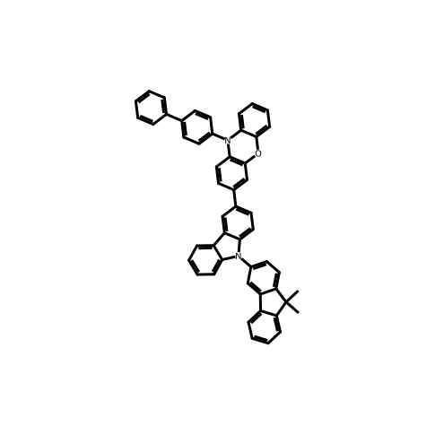 CC1(C)c2ccccc2-c2cc(-n3c4ccccc4c4cc(-c5ccc6c(c5)Oc5ccccc5N6c5ccc(-c6ccccc6)cc5)ccc43)ccc21